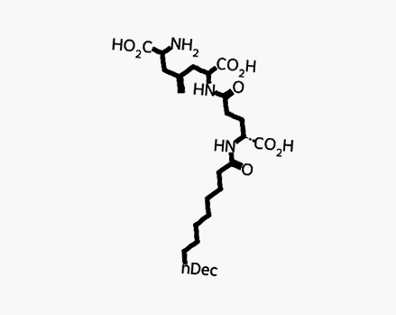 C=C(CC(N)C(=O)O)CC(NC(=O)CC[C@@H](NC(=O)CCCCCCCCCCCCCCCCC)C(=O)O)C(=O)O